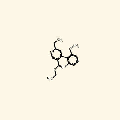 CCOC(=O)c1cnc(CC)cc1-c1c(F)cccc1OC